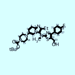 CCc1nc2ccc(N3CCN(C(=O)OC(C)(C)C)CC3)cn2c1N(C)c1nc(-c2ccc(F)cc2)c(CO)s1